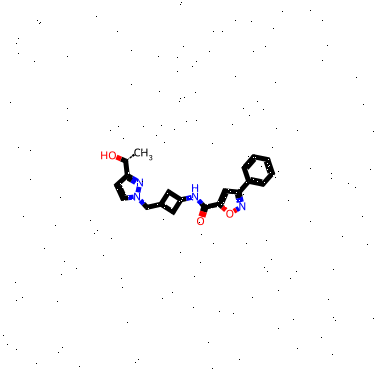 C[C@@H](O)c1ccn(CC2CC(NC(=O)c3cc(-c4ccccc4)no3)C2)n1